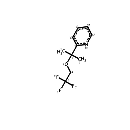 CC(C)(OCC(F)(F)F)c1ccccn1